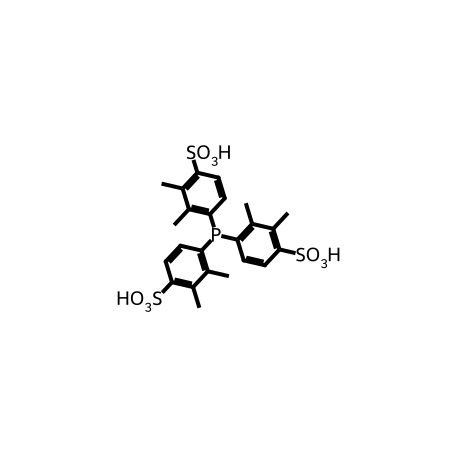 Cc1c(P(c2ccc(S(=O)(=O)O)c(C)c2C)c2ccc(S(=O)(=O)O)c(C)c2C)ccc(S(=O)(=O)O)c1C